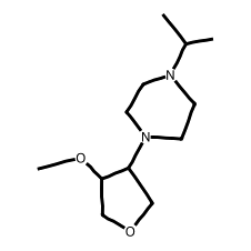 COC1COCC1N1CCN(C(C)C)CC1